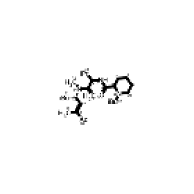 C=C(C(NC(=O)C1CCCCN1C(C)CC)C(C)C)N(C)[C@H](/C=C(\C)C(C)=O)[C@@H](C)CC